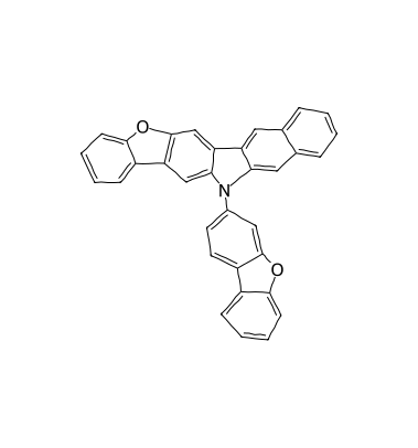 c1ccc2cc3c(cc2c1)c1cc2oc4ccccc4c2cc1n3-c1ccc2c(c1)oc1ccccc12